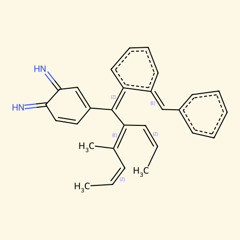 C\C=C/C(C)=C(\C=C/C)C(/C1=CC(=N)C(=N)C=C1)=c1/cccc/c1=C\c1ccccc1